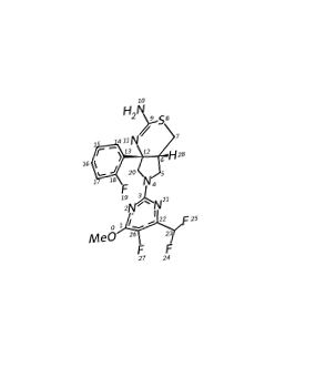 COc1nc(N2C[C@H]3CSC(N)=N[C@@]3(c3ccccc3F)C2)nc(C(F)F)c1F